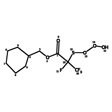 O=C(OCC1CCCCC1)C(F)(SOOO)C(F)(F)F